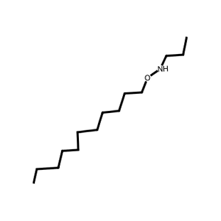 CCCCCCCCCCCONCCC